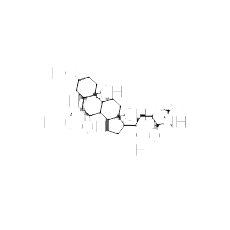 CC[C@H]1[C@@H](O)C2C3CCC(C(C)CC4SC(=O)NC4=O)[C@@]3(C)CCC2[C@@]2(C)CC[C@@H](O)C[C@@H]12